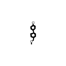 COCc1ccc(-c2ccc(Cl)cc2)cc1